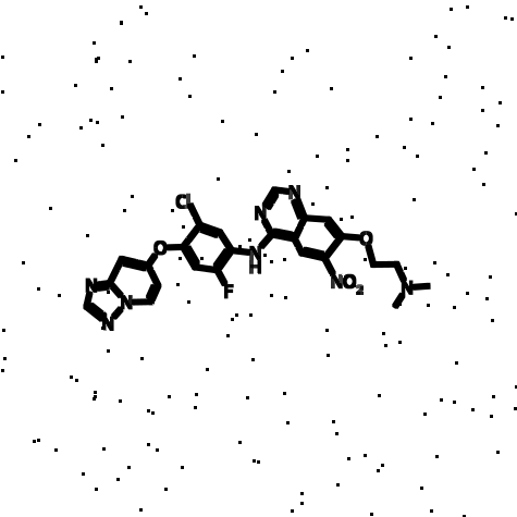 CN(C)CCOc1cc2ncnc(Nc3cc(Cl)c(Oc4ccn5ncnc5c4)cc3F)c2cc1[N+](=O)[O-]